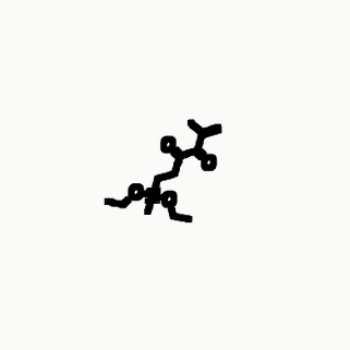 C=C(C)C(=O)C(=O)CC[Si](C)(OCC)OCC